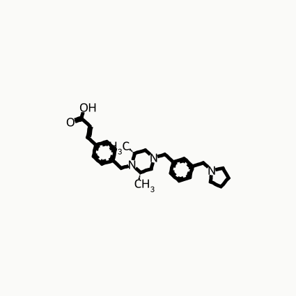 C[C@@H]1CN(Cc2cccc(CN3CCCC3)c2)C[C@H](C)N1Cc1ccc(C=CC(=O)O)cc1